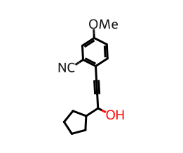 COc1ccc(C#CC(O)C2CCCC2)c(C#N)c1